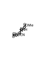 COC(=O)c1ccc(Nc2nccc(-c3ccc(OC4CCN(C(=O)[C@H](C)O)CC4)c(C#N)c3)n2)cc1